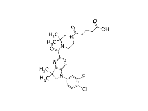 CC1(C)CN(c2ccc(Cl)c(F)c2)c2ccc(C(=O)N3CCN(C(=O)CCCC(=O)O)CC3(C)C)nc21